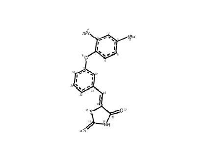 CCCc1cc(C(C)(C)C)ccc1Oc1cccc(/C=C2\SC(=S)NC2=O)c1